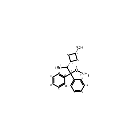 CC(C)(C)C([C@H]1C[C@@H](O)C1)C(O[SiH3])(c1ccccc1)c1ccccc1